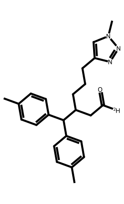 [2H]C(=O)CC(CCCc1cn(C)nn1)C(c1ccc(C)cc1)c1ccc(C)cc1